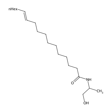 CCCCCCC=CCCCCCCCCCC(=O)NC(C)CO